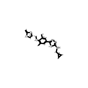 C=C1OC[C@@H](COc2c(C)cc(-c3nnc(NCC4CC4)s3)cc2C)O1